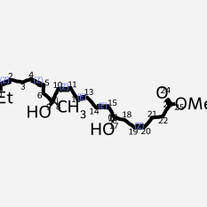 CC/C=C\C/C=C\C[C@](C)(O)\C=C/C=C/C=C/[C@H](O)C/C=C\CCC(=O)OC